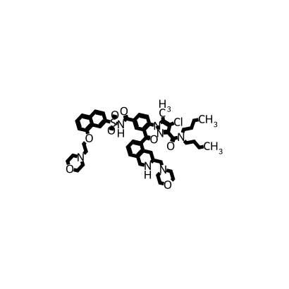 CCCCN(CCCC)C(=O)c1nn(-c2ccc(C(=O)NS(=O)(=O)c3ccc4cccc(OCCN5CCOCC5)c4c3)cc2C(=O)c2cccc3c2CC(CN2CCOCC2)NC3)c(C)c1Cl